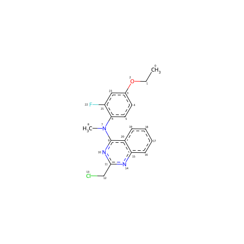 CCOc1ccc(N(C)c2nc(CCl)nc3ccccc23)c(F)c1